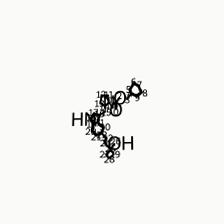 O=C(OCc1ccccc1)N1CCC[C@@H]1Cc1c[nH]c2ccc(/C=C/C3(O)CCC3)cc12